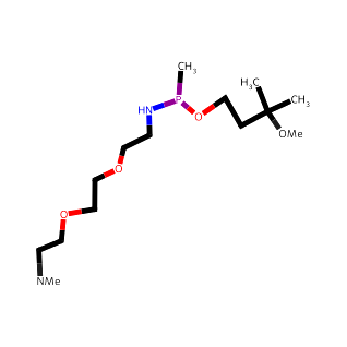 CNCCOCCOCCNP(C)OCCC(C)(C)OC